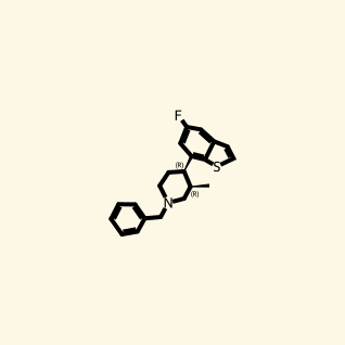 C[C@H]1CN(Cc2ccccc2)CC[C@H]1c1cc(F)cc2ccsc12